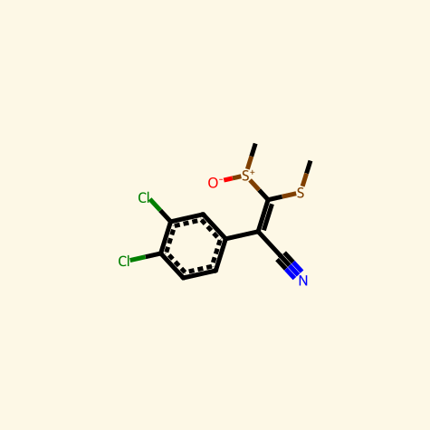 CSC(=C(C#N)c1ccc(Cl)c(Cl)c1)[S+](C)[O-]